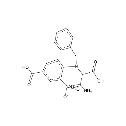 NC(=O)C(C(=O)O)N(Cc1ccccc1)c1ccc(C(=O)O)cc1[N+](=O)[O-]